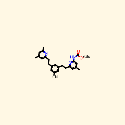 Cc1cc(C)nc(CCc2cc(C#N)cc(CCc3cc(C)cc(NC(=O)OC(C)(C)C)n3)c2)c1